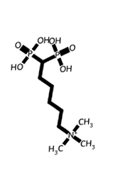 C[N+](C)(C)CCCCCC(P(=O)(O)O)P(=O)(O)O